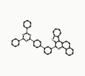 c1ccc(-c2nc(-c3ccccc3)nc(-c3ccc(-c4cccc(-c5nc6c7ccccc7ccc6c6c5oc5ccccc56)c4)cc3)n2)cc1